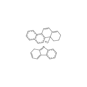 C1=CCC2=Nc3ccccc3C2=C1.CC12CCCC=C1C=Cc1c2ccc2ccccc12